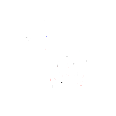 C=CCN(CC=C)CC(=O)OCC(=O)O[C@H]1[C@@H](O)[C@H]2C(C)(C)CC[C@H](O)[C@]2(C)[C@@]2(O)C(=O)C[C@](C)(C=C)O[C@]12C.Cl